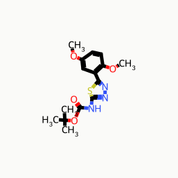 COc1ccc(OC)c(-c2nnc(NC(=O)OC(C)(C)C)s2)c1